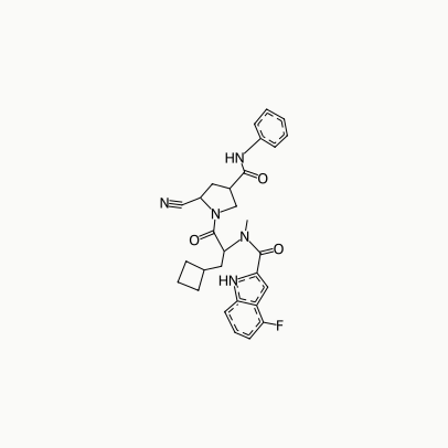 CN(C(=O)c1cc2c(F)cccc2[nH]1)C(CC1CCC1)C(=O)N1CC(C(=O)Nc2ccccc2)CC1C#N